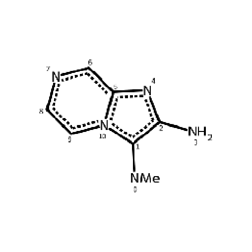 CNc1c(N)nc2cnccn12